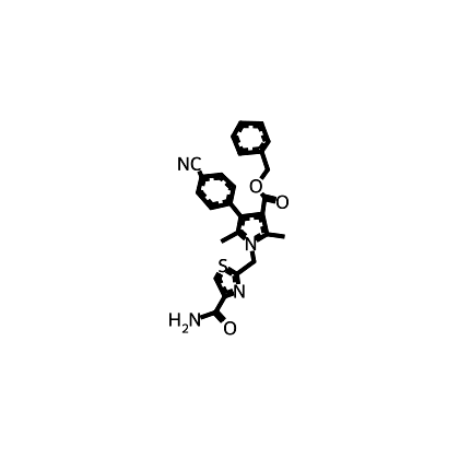 Cc1c(C(=O)OCc2ccccc2)c(-c2ccc(C#N)cc2)c(C)n1Cc1nc(C(N)=O)cs1